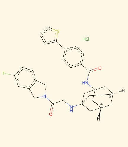 Cl.O=C(NC12C[C@@H]3C[C@@H](CC(NCC(=O)N4Cc5ccc(F)cc5C4)(C3)C1)C2)c1ccc(-c2cccs2)cc1